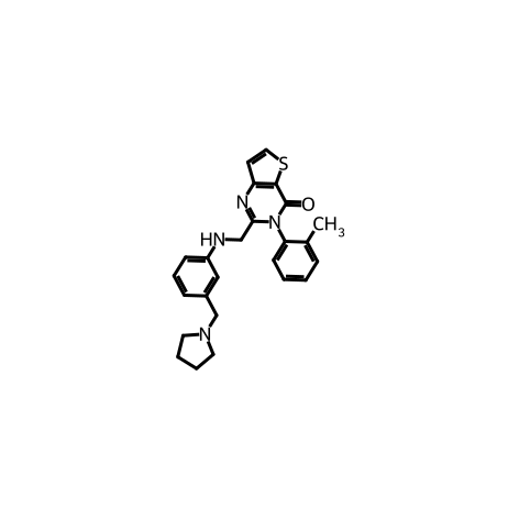 Cc1ccccc1-n1c(CNc2cccc(CN3CCCC3)c2)nc2ccsc2c1=O